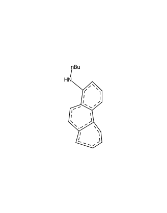 CCCCNc1cccc2c1ccc1ccccc12